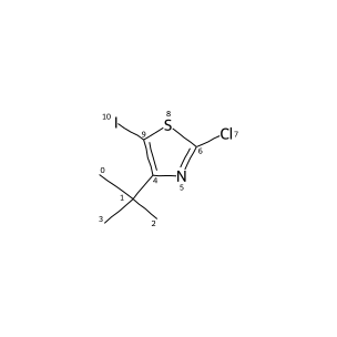 CC(C)(C)c1nc(Cl)sc1I